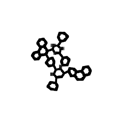 C1=C(c2ccccc2)NC(c2ccc(-c3c(C4N=C(c5ccccc5)NC(c5ccccc5)N4)c4ccccc4c4ccccc34)cc2)NC1c1ccc2c(ccc3ccccc32)c1